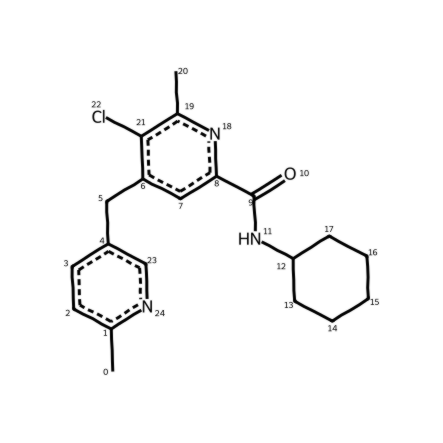 Cc1ccc(Cc2cc(C(=O)NC3CCCCC3)nc(C)c2Cl)cn1